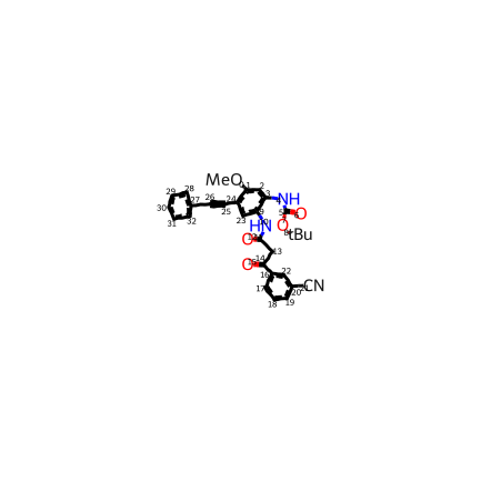 COc1cc(NC(=O)OC(C)(C)C)c(NC(=O)CC(=O)c2cccc(C#N)c2)cc1C#Cc1ccccc1